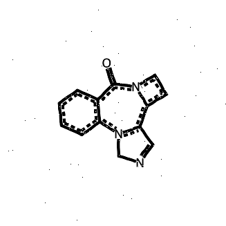 O=c1c2ccccc2n2c(c3ccn1-3)C=NC2